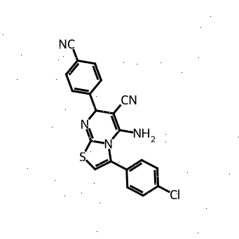 N#CC1=C(N)N2C(c3ccc(Cl)cc3)=CSC2=NC1c1ccc(C#N)cc1